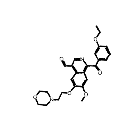 CCOc1cccc(C(=O)c2ncc(C=O)c3cc(OCCN4CCOCC4)c(OC)cc23)c1